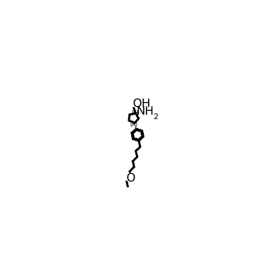 CCOCCCCCCc1ccc([C@@H]2CC[C@@](N)(CO)C2)cc1